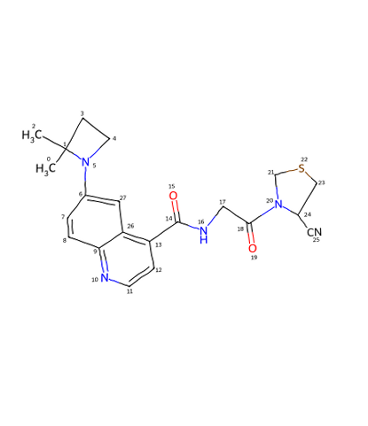 CC1(C)CCN1c1ccc2nccc(C(=O)NCC(=O)N3CSCC3C#N)c2c1